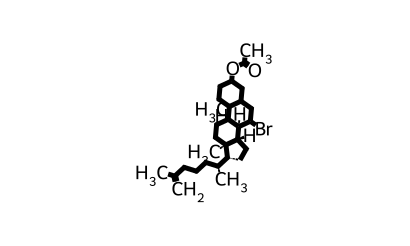 C=C(C)CCC[C@@H](C)[C@H]1CC[C@H]2[C@@H]3C(Br)CC4CC(OC(C)=O)CC[C@]4(C)[C@H]3CC[C@]12C